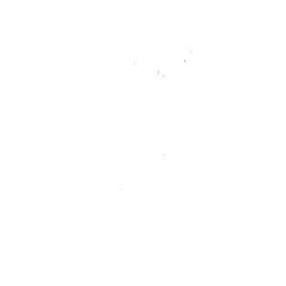 C=CC(=O)OCCN(C(C)CC)C(C)CC